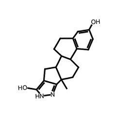 CC12CCC3c4ccc(O)cc4CCC3C1Cc1c2n[nH]c1O